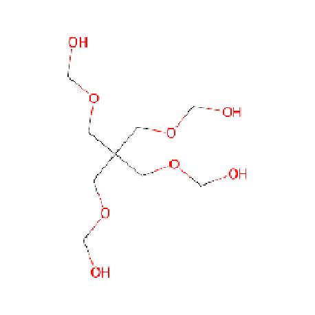 OCOCC(COCO)(COCO)COCO